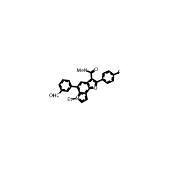 CCn1ccc2c3oc(-c4ccc(F)cc4)c(C(=O)NC)c3cc(-c3cccc(C=O)c3)c21